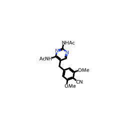 COc1cc(Cc2cnc(NC(C)=O)nc2NC(C)=O)cc(OC)c1[13C]#N